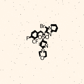 O=S(=O)(c1ccc(N2CCOCC2)nc1)N(Cc1ccc(F)c(C(F)(F)F)c1)c1nc2ccccn2c1Br